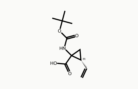 C=C[C@H]1CC1(NC(=O)OC(C)(C)C)C(=O)O